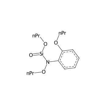 CCCOc1ccccc1N(OCCC)[Si](=O)OCCC